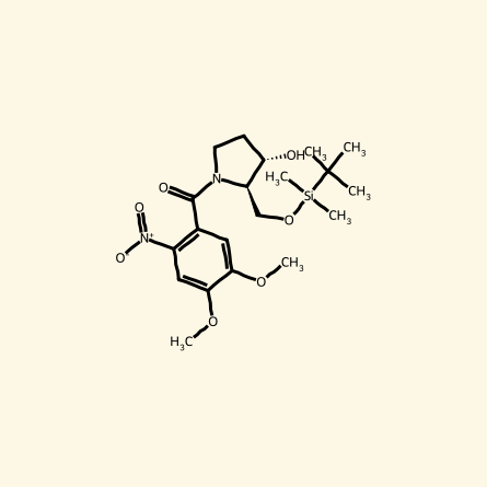 COc1cc(C(=O)N2CC[C@H](O)[C@H]2CO[Si](C)(C)C(C)(C)C)c([N+](=O)[O-])cc1OC